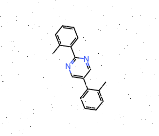 Cc1ccccc1-c1cnc(-c2ccccc2C)nc1